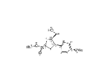 COc1ccc([C@H]2CN(C(=O)OC(C)(C)C)C[C@H]2CO)cc1